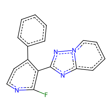 Fc1nccc(-c2ccccc2)c1-c1nc2ccccn2n1